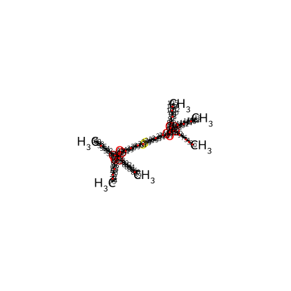 CCCCCCCCCCCCOc1cc(C(=O)OCCCCCCCCCCCSSCCCCCCCCCCCOC(=O)c2cc(OCCCCCCCCCCCC)c(OCCCCCCCCCCCC)c(OCCCCCCCCCCCC)c2)cc(OCCCCCCCCCCCC)c1OCCCCCCCCCCCC